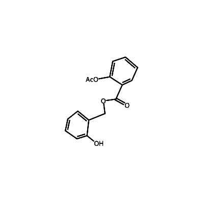 CC(=O)Oc1ccccc1C(=O)OCc1ccccc1O